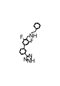 Fc1cc(-c2cccc(-c3nc[nH]n3)c2)cc(F)c1CNCCc1ccccc1